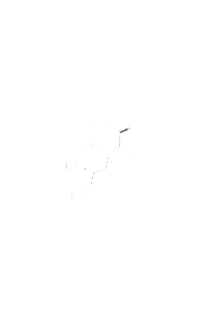 O=[C]([SnH3])[C@H](O)[C@@H](O)[C@H](O)[C@H](O)CO